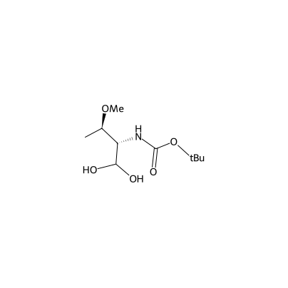 CO[C@H](C)[C@H](NC(=O)OC(C)(C)C)C(O)O